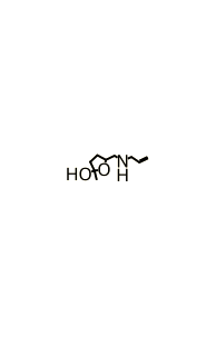 C=CCNCC1CCC(C)(O)O1